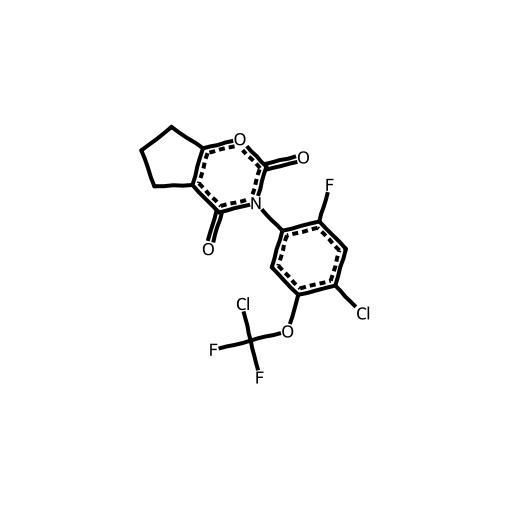 O=c1oc2c(c(=O)n1-c1cc(OC(F)(F)Cl)c(Cl)cc1F)CCC2